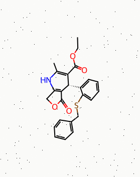 CCOC(=O)C1=C(C)NC2=C(C(=O)OC2)[C@H]1c1ccccc1SCc1ccccc1